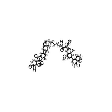 COc1cc(-c2cn(C)c(=O)c3cnccc23)cc(OC)c1CN(C)C(OC=O)C(=O)NCCCCN1CCOC2(CCN(c3ccc4c(c3)C(=O)N(C3CCC(=O)NC3=O)C4=O)CC2)C1